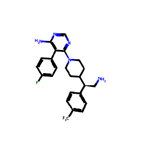 NC[C@@H](c1ccc(C(F)(F)F)cc1)C1CCN(c2ncnc(N)c2-c2ccc(F)cc2)CC1